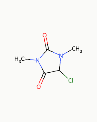 CN1C(=O)C(Cl)N(C)C1=O